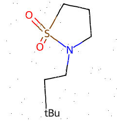 CC(C)(C)CCN1CCCS1(=O)=O